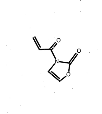 C=CC(=O)n1ccoc1=O